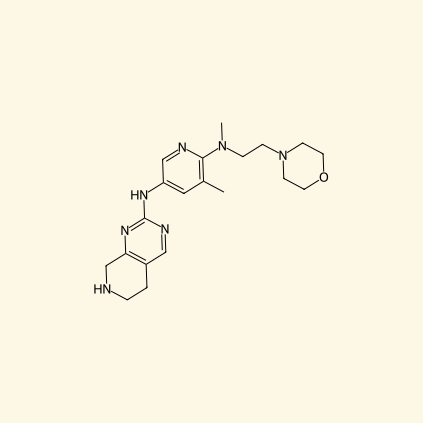 Cc1cc(Nc2ncc3c(n2)CNCC3)cnc1N(C)CCN1CCOCC1